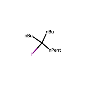 CCCCCC(I)(CCCC)CCCC